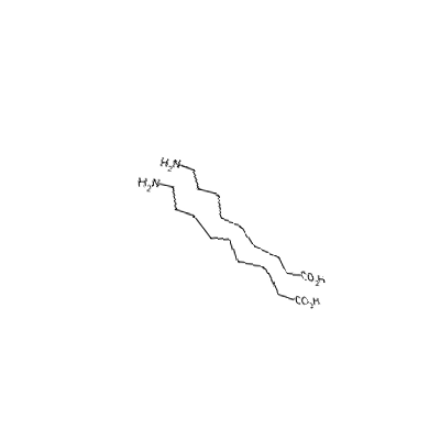 NCCCCCCCCC(=O)O.NCCCCCCCCC(=O)O